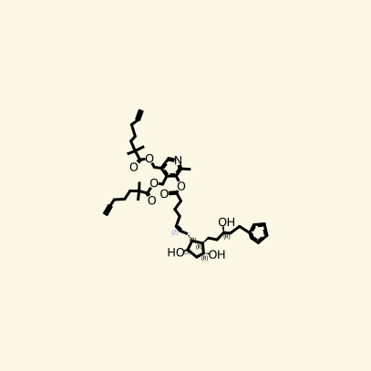 C#CCCCC(C)(C)C(=O)OCc1cnc(C)c(OC(=O)CCC/C=C\C[C@@H]2[C@@H](CC[C@@H](O)CCc3ccccc3)[C@H](O)C[C@@H]2O)c1COC(=O)C(C)(C)CCCC#C